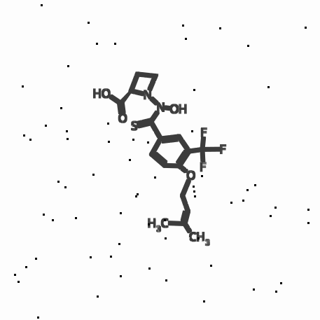 CC(C)=CCOc1ccc(C(=S)N(O)N2CC[C@@H]2C(=O)O)cc1C(F)(F)F